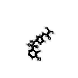 Cc1c(Cl)cccc1S(=O)(=O)Nc1nc(CC(=O)N(C)C)cs1